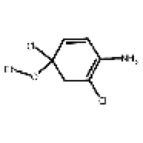 CCOC1(Cl)C=CC(N)=C(Cl)C1